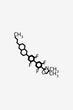 CCCCC1CCC2CC(c3cc(F)c(-c4cc(F)c(C5=NC(C)(C)CO5)c(F)c4)c(F)c3)CCC2C1